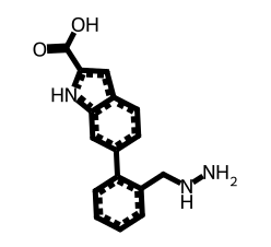 NNCc1ccccc1-c1ccc2cc(C(=O)O)[nH]c2c1